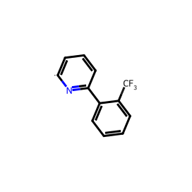 FC(F)(F)c1ccccc1-c1ccc[c]n1